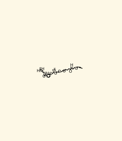 CC#CCOCCNC(=O)CCCOCCOCCOC(COc1cccc(C(=O)NCCNS)c1)SSC